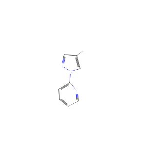 O=C(O)c1cnn(-c2ccccn2)c1